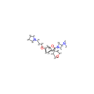 CN(C)C1CN(C(=O)C2(c3ccc(OCCCN4CCCC4)cc3)CCOCC2)C1